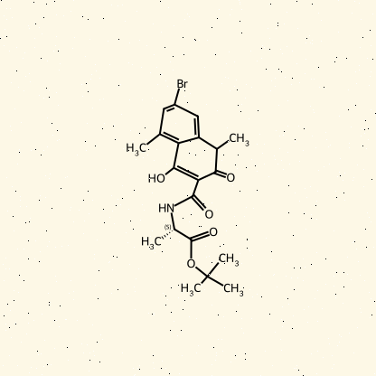 Cc1cc(Br)cc2c1C(O)=C(C(=O)N[C@@H](C)C(=O)OC(C)(C)C)C(=O)C2C